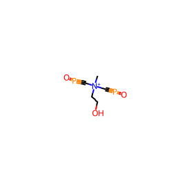 C[N+](C#P=O)(C#P=O)CCO